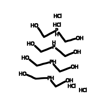 Cl.Cl.Cl.Cl.OCPCO.OCPCO.OCPCO.OCPCO